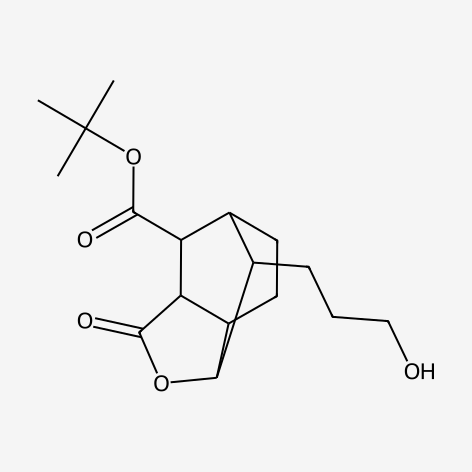 CC(C)(C)OC(=O)C1C2CCC3C(OC(=O)C31)C2CCCO